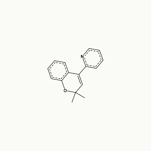 CC1(C)C=C(c2ccccn2)c2ccccc2O1